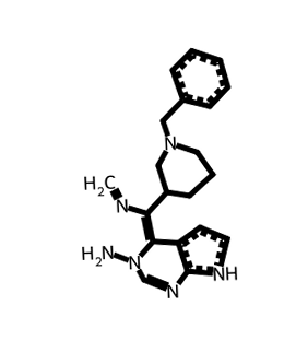 C=N/C(=C1/c2cc[nH]c2N=CN1N)C1CCCN(Cc2ccccc2)C1